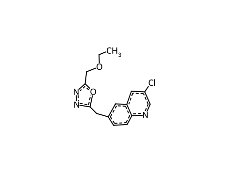 CCOCc1nnc(Cc2ccc3ncc(Cl)cc3c2)o1